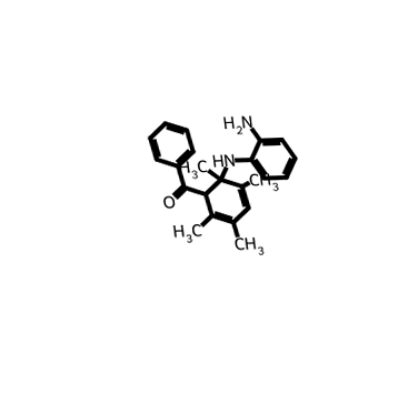 CC1=CC(C)=C(C)C(C(=O)c2ccccc2)C1(C)Nc1ccccc1N